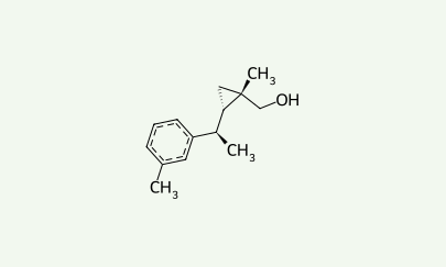 Cc1cccc([C@H](C)[C@@H]2C[C@]2(C)CO)c1